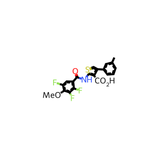 COc1c(F)cc(C(=O)Nc2scc(-c3cccc(C)c3)c2C(=O)O)c(F)c1F